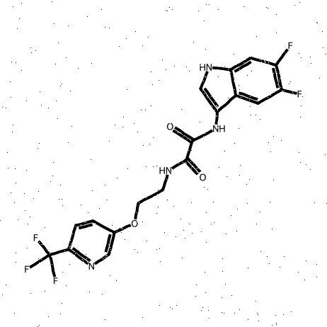 O=C(NCCOc1ccc(C(F)(F)F)nc1)C(=O)Nc1c[nH]c2cc(F)c(F)cc12